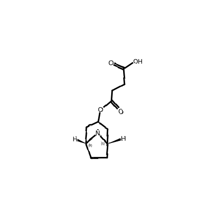 CN1[C@@H]2CC[C@H]1CC(OC(=O)CCC(=O)O)C2